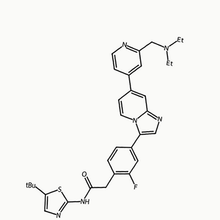 CCN(CC)Cc1cc(-c2ccn3c(-c4ccc(CC(=O)Nc5ncc(C(C)(C)C)s5)c(F)c4)cnc3c2)ccn1